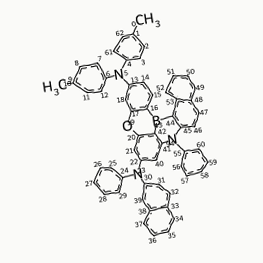 Cc1ccc(N(c2ccc(C)cc2)c2ccc3c(c2)Oc2cc(N(c4ccccc4)c4ccc5ccccc5c4)cc4c2B3c2c(ccc3ccccc23)N4c2ccccc2)cc1